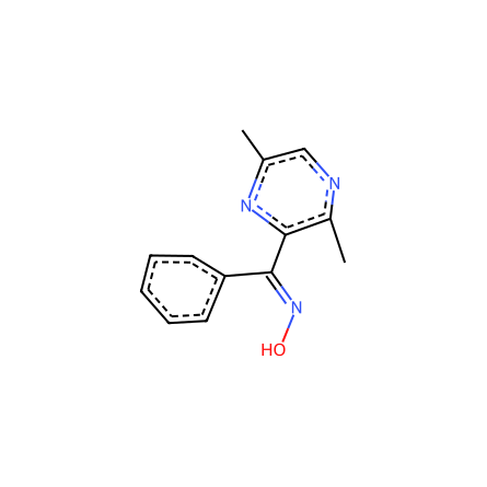 Cc1cnc(C)c(C(=NO)c2ccccc2)n1